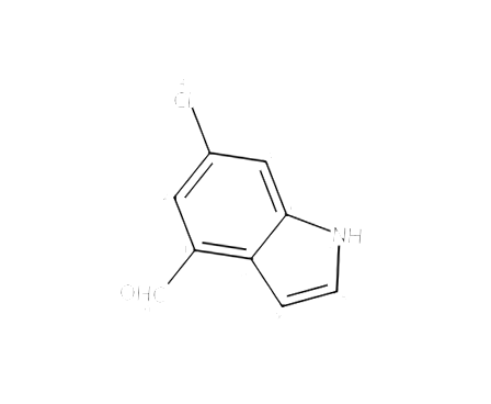 O=Cc1cc(Cl)cc2[nH]ccc12